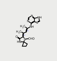 CC(/C=C(\C)Nc1ncnc2[nH]cnc12)=C1\C(=O)NC2(CCC2)N1C=O